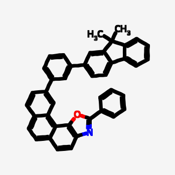 CC1(C)c2ccccc2-c2ccc(-c3cccc(-c4ccc5ccc6ccc7nc(-c8ccccc8)oc7c6c5c4)c3)cc21